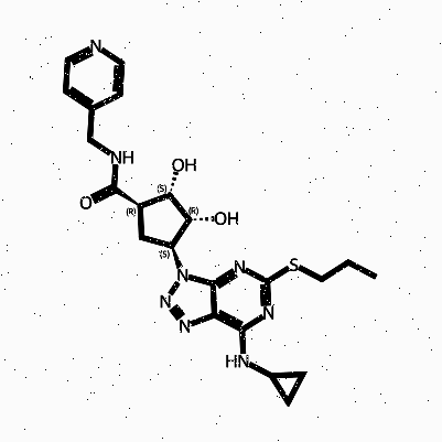 CCCSc1nc(NC2CC2)c2nnn([C@H]3C[C@@H](C(=O)NCc4ccncc4)[C@H](O)[C@@H]3O)c2n1